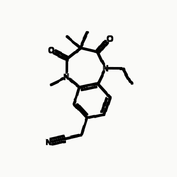 CCN1C(=O)C(C)(C)C(=O)N(C)c2cc(CC#N)ccc21